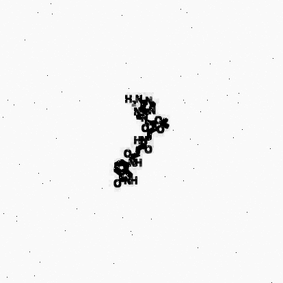 CC1(C)OC2C(CNC(=O)CCC(=O)Nc3cccc4c3CNC4=O)OC(n3cnc4c(N)ncnc43)C2O1